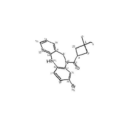 CC1(C)CC(C(=O)N2Cc3cccnc3Nc3ccc(Br)cc32)C1